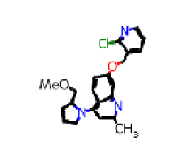 COCC1CCCN1c1cc(C)nc2cc(OCc3cccnc3Cl)ccc12